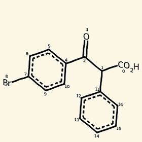 O=C(O)C(C(=O)c1ccc(Br)cc1)c1ccccc1